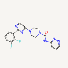 O=C(Nc1cccnn1)N1CCN(c2ccnc(-c3cccc(F)c3F)n2)CC1